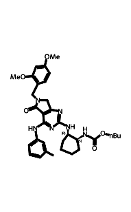 CCCCOC(=O)N[C@H]1CCCC[C@H]1Nc1nc2c(c(Nc3cccc(C)c3)n1)C(=O)N(Cc1ccc(OC)cc1OC)C2